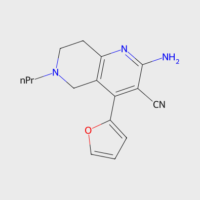 CCCN1CCc2nc(N)c(C#N)c(-c3ccco3)c2C1